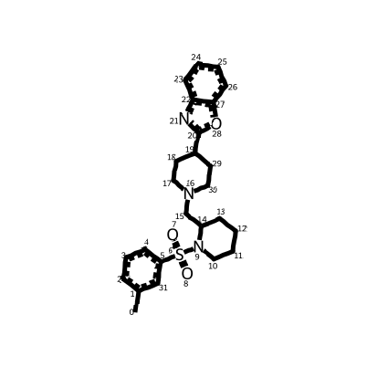 Cc1cccc(S(=O)(=O)N2CCCCC2CN2CCC(c3nc4ccccc4o3)CC2)c1